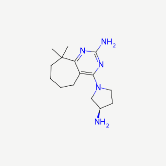 CC1(C)CCCCc2c(N3CC[C@@H](N)C3)nc(N)nc21